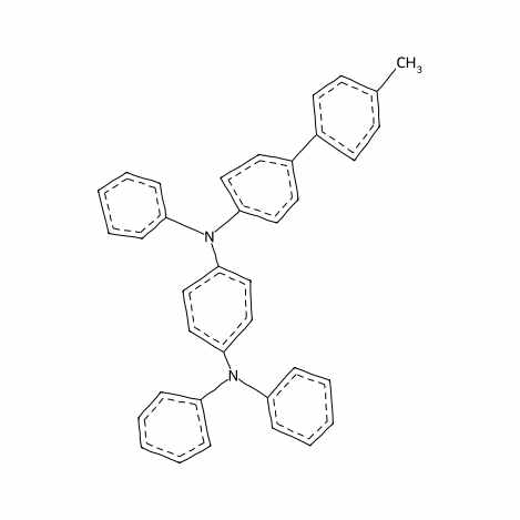 Cc1ccc(-c2ccc(N(c3ccccc3)c3ccc(N(c4ccccc4)c4ccccc4)cc3)cc2)cc1